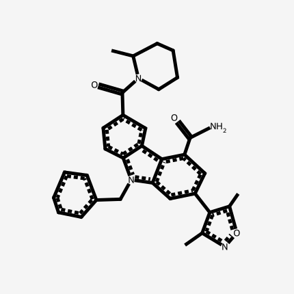 Cc1noc(C)c1-c1cc(C(N)=O)c2c3cc(C(=O)N4CCCCC4C)ccc3n(Cc3ccccc3)c2c1